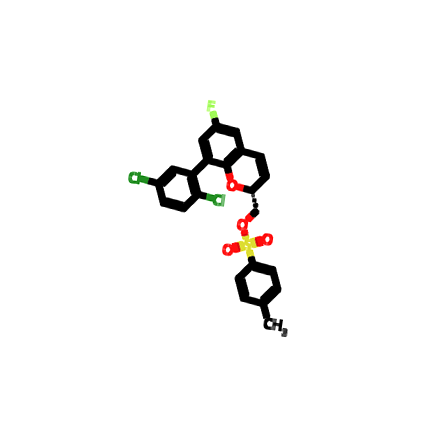 Cc1ccc(S(=O)(=O)OC[C@H]2C=Cc3cc(F)cc(-c4cc(Cl)ccc4Cl)c3O2)cc1